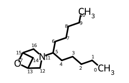 CCCCCC(CCCCC)N1CC2CC(C1)O2